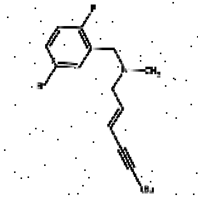 CN(CC=CC#CC(C)(C)C)Cc1cc(Br)ccc1F